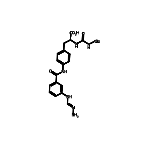 CC(C)(C)NC(=O)N[C@@H](Cc1ccc(NC(=O)c2cccc(NC=NN)c2)cc1)C(=O)O